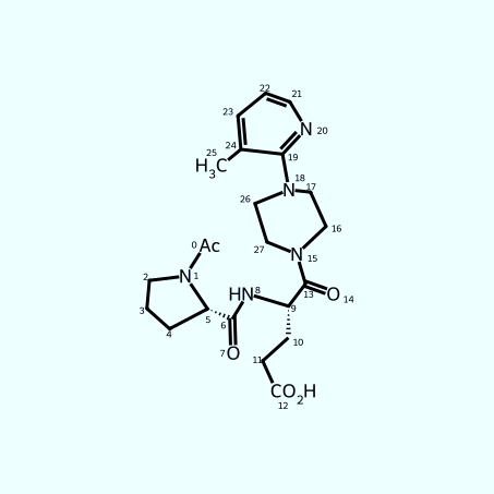 CC(=O)N1CCC[C@H]1C(=O)N[C@@H](CCC(=O)O)C(=O)N1CCN(c2ncccc2C)CC1